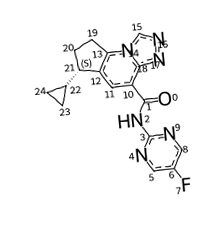 O=C(Nc1ncc(F)cn1)c1cc2c(n3cnnc13)CC[C@H]2C1CC1